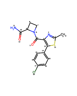 Cc1nc(C(=O)N2CCC2C(N)=O)c(-c2ccc(Cl)cc2)s1